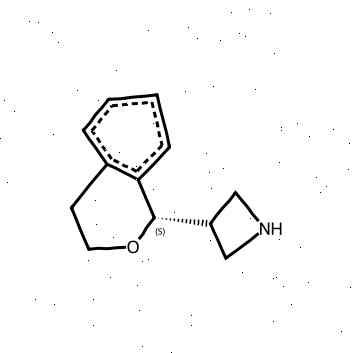 c1ccc2c(c1)CCO[C@H]2C1CNC1